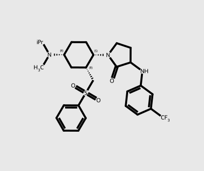 CC(C)N(C)[C@@H]1CC[C@H](N2CCC(Nc3cccc(C(F)(F)F)c3)C2=O)[C@H](CS(=O)(=O)c2ccccc2)C1